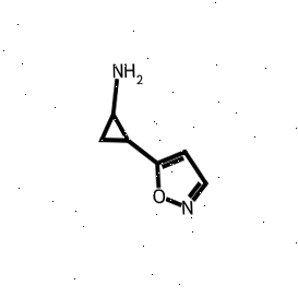 NC1CC1c1ccno1